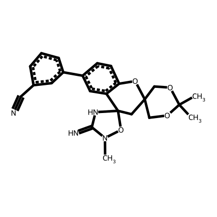 CN1OC2(CC3(COC(C)(C)OC3)Oc3ccc(-c4cccc(C#N)c4)cc32)NC1=N